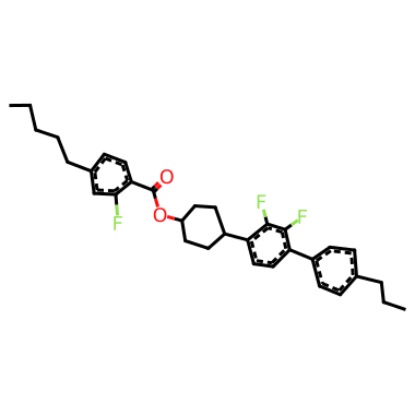 CCCCCc1ccc(C(=O)OC2CCC(c3ccc(-c4ccc(CCC)cc4)c(F)c3F)CC2)c(F)c1